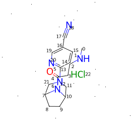 CNCCC(=O)N1C2CCC1CN(c1ccc(C#N)cn1)C2.Cl